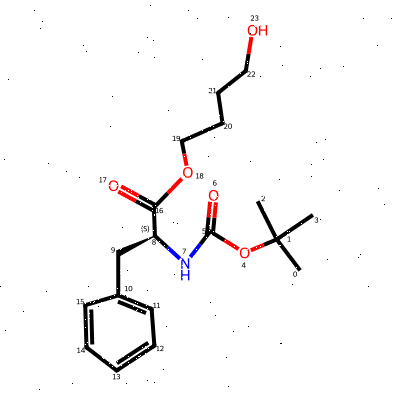 CC(C)(C)OC(=O)N[C@@H](Cc1ccccc1)C(=O)OCCCCO